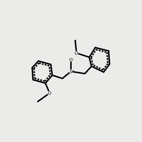 COc1ccccc1C[S+]([O-])Cc1ccccc1OC